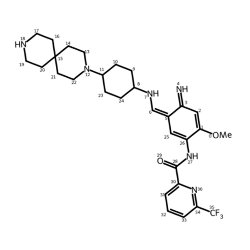 COC1=CC(=N)/C(=C\NC2CCC(N3CCC4(CCNCC4)CC3)CC2)C=C1NC(=O)c1cccc(C(F)(F)F)n1